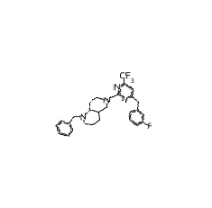 Fc1cccc(Cc2cc(C(F)(F)F)nc(N3CCC4C(CCCN4Cc4ccccc4)C3)n2)c1